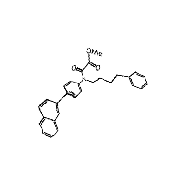 COC(=O)C(=O)N(CCCCc1ccccc1)c1ccc(-c2ccc3ccccc3c2)cc1